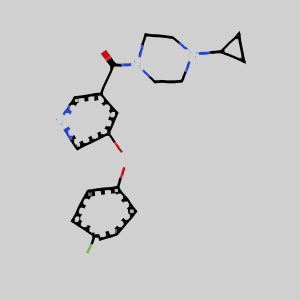 O=C(c1cncc(Oc2ccc(F)cc2)c1)N1CCN(C2CC2)CC1